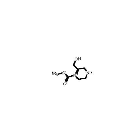 CC(C)(C)OC(=O)[N+]1=C(CO)CNCC1